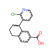 O=C(O)c1ccc2c(c1)C(c1cccnc1Cl)=CCC2